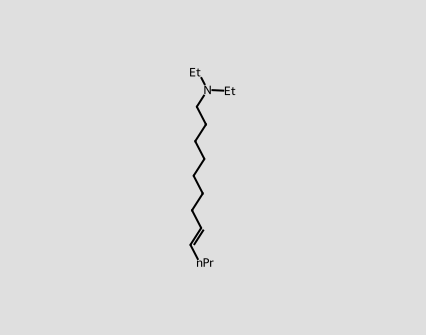 CCCC=CCCCCCCCN(CC)CC